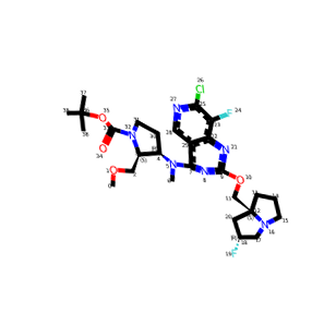 COC[C@@H]1[C@H](N(C)c2nc(OC[C@@]34CCCN3C[C@H](F)C4)nc3c(F)c(Cl)ncc23)CCN1C(=O)OC(C)(C)C